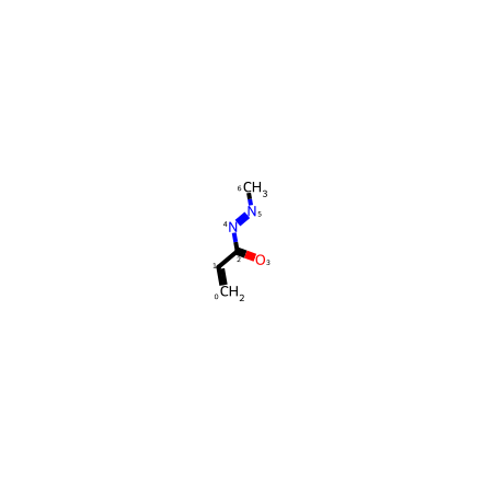 C=CC(=O)N=NC